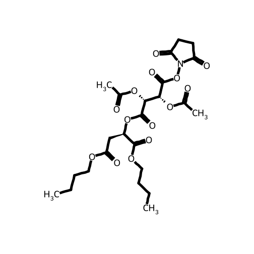 CCCCOC(=O)C[C@@H](OC(=O)[C@H](OC(C)=O)[C@@H](OC(C)=O)C(=O)ON1C(=O)CCC1=O)C(=O)OCCCC